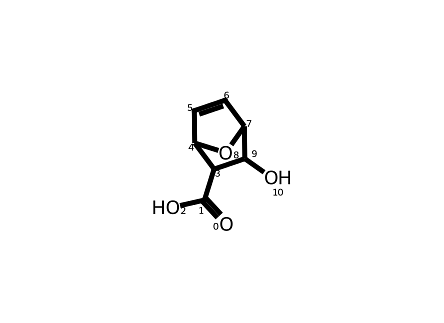 O=C(O)C1C2C=CC(O2)C1O